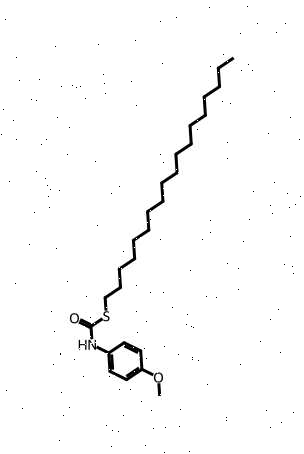 CCCCCCCCCCCCCCCCCCSC(=O)Nc1ccc(OC)cc1